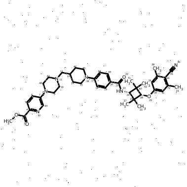 COC(=O)c1ccc(N2CCN(CC3CCN(c4ccc(C(=O)N[C@H]5C(C)(C)[C@H](Oc6cc(C)c(C#N)c(C)c6)C5(C)C)cc4)CC3)CC2)cn1